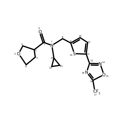 O=C(C1CCOC1)N(Cc1ccc(-c2noc(C(F)(F)F)n2)s1)C1CC1